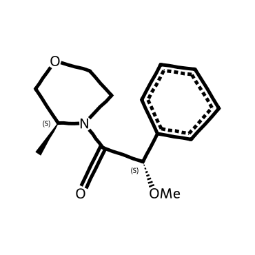 CO[C@H](C(=O)N1CCOC[C@@H]1C)c1ccccc1